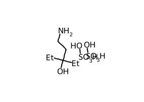 CCC(O)(CC)CCN.O=S(=O)(O)O.O=S(=O)(O)O